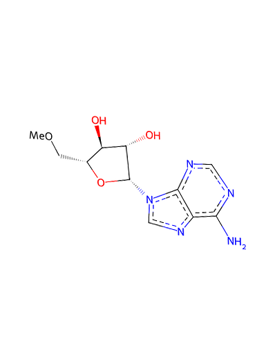 COC[C@H]1O[C@@H](n2cnc3c(N)ncnc32)[C@@H](O)[C@@H]1O